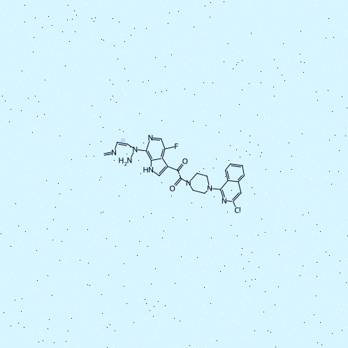 C=N/C=C\N(N)c1ncc(F)c2c(C(=O)C(=O)N3CCN(c4nc(Cl)cc5ccccc45)CC3)c[nH]c12